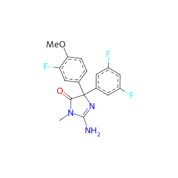 COc1ccc(C2(c3cc(F)cc(F)c3)N=C(N)N(C)C2=O)cc1F